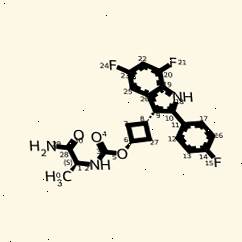 C[C@H](NC(=O)O[C@H]1C[C@H](c2c(-c3ccc(F)cc3)[nH]c3c(F)cc(F)cc32)C1)C(N)=O